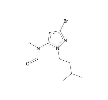 CC(C)CCn1nc(Br)cc1N(C)C=O